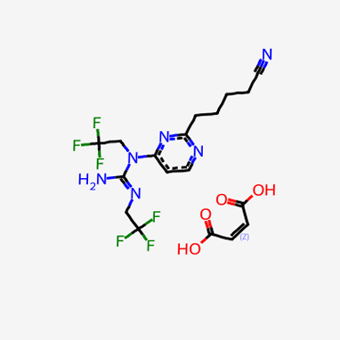 N#CCCCCc1nccc(N(CC(F)(F)F)C(N)=NCC(F)(F)F)n1.O=C(O)/C=C\C(=O)O